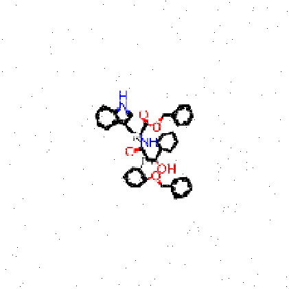 O=C(OCc1ccccc1)[C@H](Cc1c[nH]c2ccccc12)NC(=O)[C@@H](c1ccccc1OCc1ccccc1)[C@@H](O)C1CCCCC1